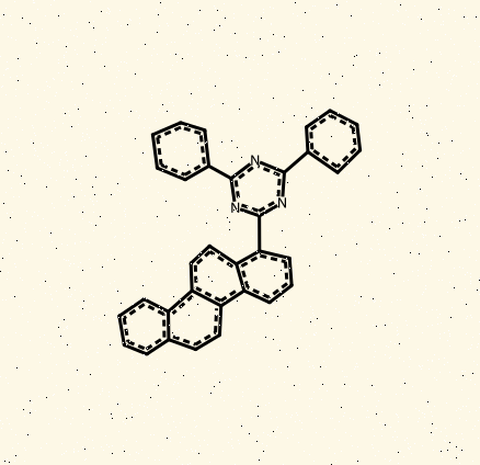 c1ccc(-c2nc(-c3ccccc3)nc(-c3cccc4c3ccc3c5ccccc5ccc43)n2)cc1